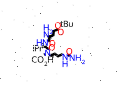 CC(C)[C@H](NC(=O)[C@@H](N)CCC(=O)OC(C)(C)C)C(=O)N(C)[C@@H](CCCNC(N)=O)C(=O)O